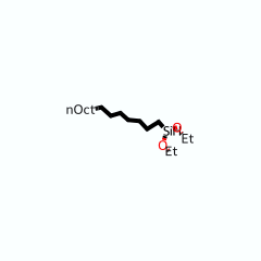 CCCCCCCCCCCCCCC[SiH](OCC)OCC